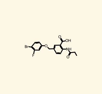 CCC(=O)Nc1ccc(COc2ccc(Br)c(F)c2)cc1C(=O)O